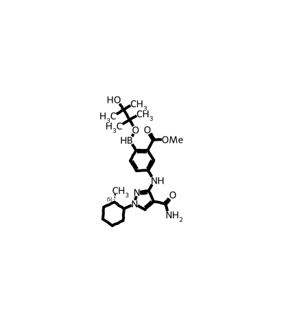 COC(=O)c1cc(Nc2nn(C3CCCC[C@@H]3C)cc2C(N)=O)ccc1BOC(C)(C)C(C)(C)O